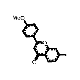 COc1ccc(-c2cc(=O)c3ccc(C)cc3o2)cc1